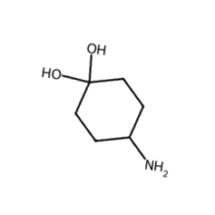 NC1CCC(O)(O)CC1